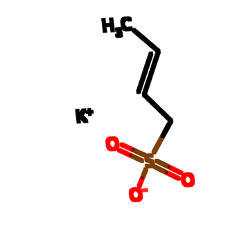 CC=CCS(=O)(=O)[O-].[K+]